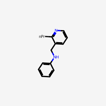 CCCc1ncccc1CNc1ccccc1